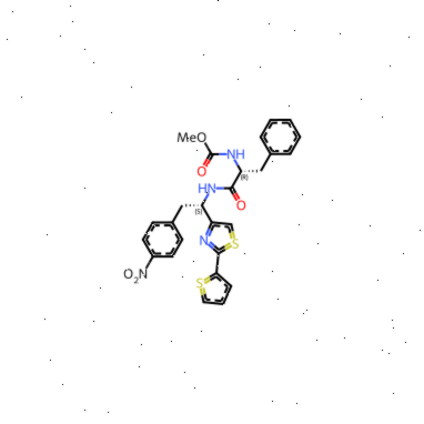 COC(=O)N[C@H](Cc1ccccc1)C(=O)N[C@@H](Cc1ccc([N+](=O)[O-])cc1)c1csc(-c2cccs2)n1